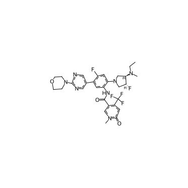 CCN(C)[C@@H]1CN(c2cc(F)c(-c3cnc(N4CCOCC4)nc3)cc2NC(=O)c2cn(C)c(=O)cc2C(F)(F)F)C[C@H]1F